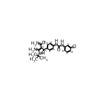 CC(C)(C)n1nc(-c2ccc(NC(=O)Nc3cccc(Cl)c3)cc2)c(C(N)=O)c1N